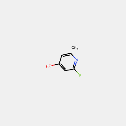 C.Oc1ccnc(F)c1